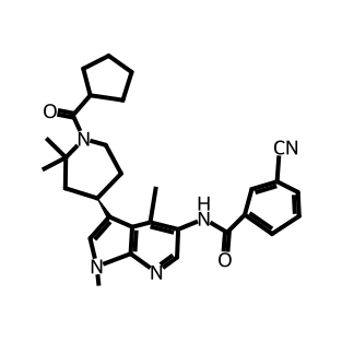 Cc1c(NC(=O)c2cccc(C#N)c2)cnc2c1c([C@@H]1CCN(C(=O)C3CCCC3)C(C)(C)C1)cn2C